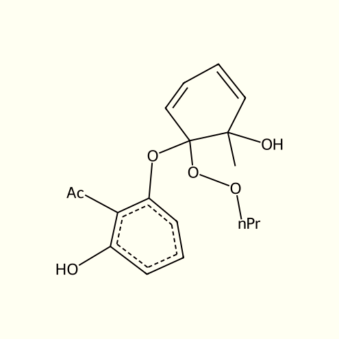 CCCOOC1(Oc2cccc(O)c2C(C)=O)C=CC=CC1(C)O